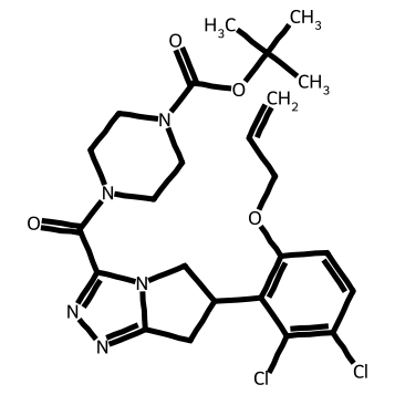 C=CCOc1ccc(Cl)c(Cl)c1C1Cc2nnc(C(=O)N3CCN(C(=O)OC(C)(C)C)CC3)n2C1